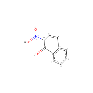 O=C1c2ccccc2C=CC1[N+](=O)[O-]